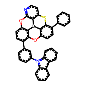 c1ccc(-c2ccc3c4c2Sc2ccnc5c2B4c2c(ccc(-c4cccc(-n6c7ccccc7c7ccccc76)c4)c2O3)O5)cc1